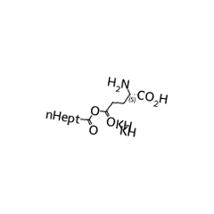 CCCCCCCC(=O)OC(=O)CC[C@H](N)C(=O)O.[KH].[KH]